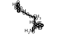 CN(CCOCCOCCOCCNc1cccc2c1C(=O)N(C1CCC(=O)NC1=O)C2=O)C(=O)CCNc1nc(N2CCN(C(N)=O)CC2)c2cc(Cl)c(-c3c(O)cccc3F)c(F)c2n1